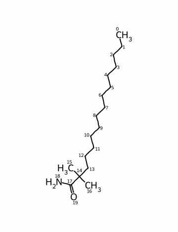 CCCCCCCCCCCCCCC(C)(C)C(N)=O